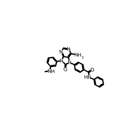 CNc1cccc(-n2c(=O)n(-c3ccc(C(=O)Nc4ccccc4)cc3)c3c(N)ncnc32)c1